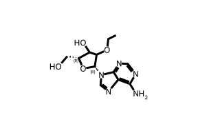 CCOC1C(O)[C@@H](CO)O[C@H]1n1cnc2c(N)ncnc21